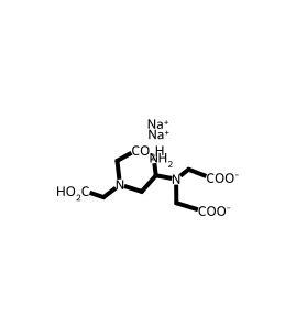 NC(CN(CC(=O)O)CC(=O)O)N(CC(=O)[O-])CC(=O)[O-].[Na+].[Na+]